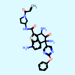 C=CC(=O)N1CCC(NC(=O)c2sc3c(N)ccc4c3c2C(N)C(=O)C4(N)c2cnc(Oc3ccccc3)nc2)C1